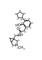 CN1CC2CC2(CNC(=O)Cc2cccc(C3CCCC3)c2O)C1